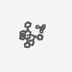 CC(CP(c1ccccc1)c1ccccc1)(CP(c1ccccc1)c1ccccc1)CP(c1ccccc1)c1ccccc1.[Cl][Rh]([Cl])[Cl]